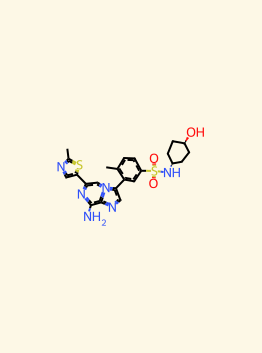 Cc1ncc(-c2cn3c(-c4cc(S(=O)(=O)N[C@H]5CC[C@H](O)CC5)ccc4C)cnc3c(N)n2)s1